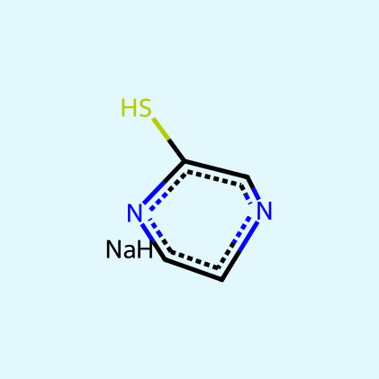 Sc1cnccn1.[NaH]